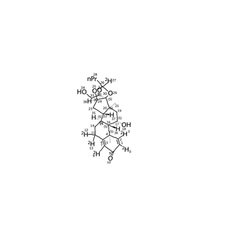 [2H]C1=C([2H])[C@@]2(C)C(=C([2H])C1=O)C([2H])([2H])C[C@@H]1[C@@H]2[C@@H](O)C[C@@]2(C)[C@H]1C[C@H]1OC([2H])(CCC)O[C@]12C(=O)CO